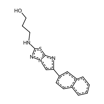 OCCCNc1nn2cc(-c3ccc4ccccc4c3)nc2s1